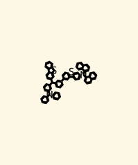 c1ccc(N(c2ccccc2)c2cccc(C(c3cccc(-c4ccc5sc6cc(N(c7cccc8ccccc78)c7cccc8ccccc78)ccc6c5c4)c3)c3ccc4c(c3)sc3ccccc34)c2)cc1